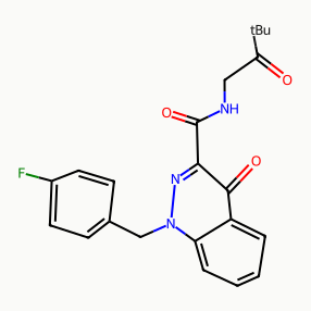 CC(C)(C)C(=O)CNC(=O)c1nn(Cc2ccc(F)cc2)c2ccccc2c1=O